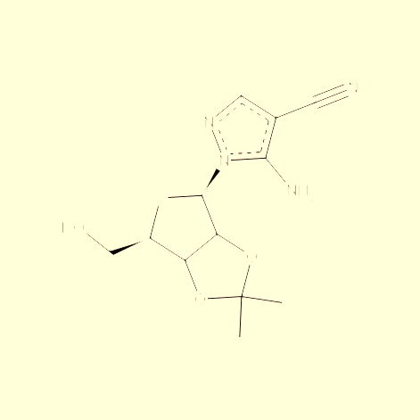 CC1(C)OC2C(O1)[C@@H](CO)O[C@H]2n1ncc(C#N)c1N